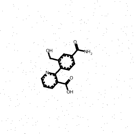 NC(=O)c1ccc(-c2ncccc2C(=O)O)c(CO)c1